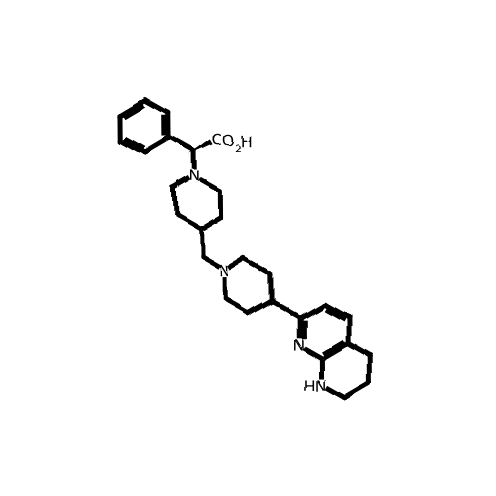 O=C(O)[C@H](c1ccccc1)N1CCC(CN2CCC(c3ccc4c(n3)NCCC4)CC2)CC1